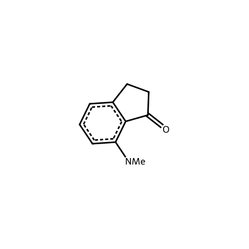 CNc1cccc2c1C(=O)CC2